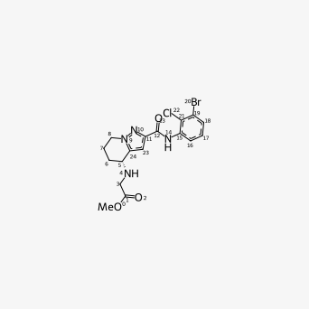 COC(=O)CN[C@@H]1CCCn2nc(C(=O)Nc3cccc(Br)c3Cl)cc21